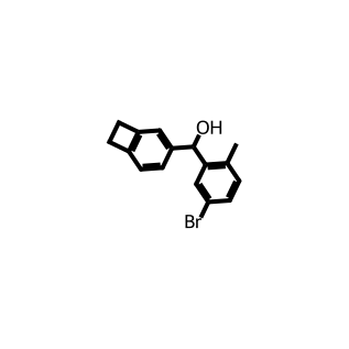 Cc1ccc(Br)cc1C(O)c1ccc2c(c1)CC2